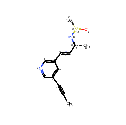 CC#Cc1cncc(/C=C/[C@@H](C)N[S@+]([O-])C(C)(C)C)c1